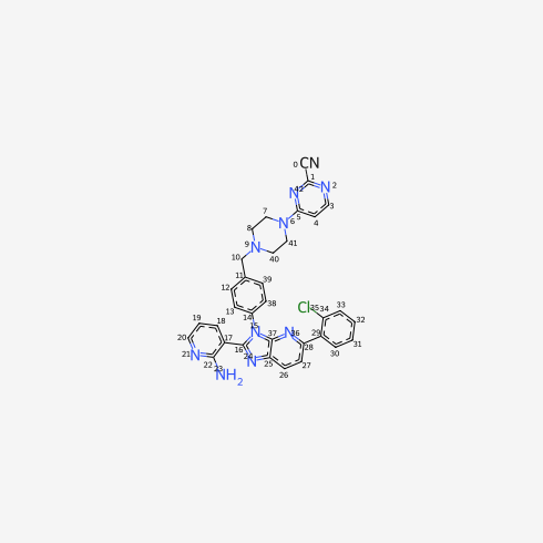 N#Cc1nccc(N2CCN(Cc3ccc(-n4c(-c5cccnc5N)nc5ccc(-c6ccccc6Cl)nc54)cc3)CC2)n1